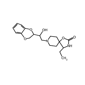 CCC1NC(=O)OC12CCN(CC(O)C1COc3ccccc3O1)CC2